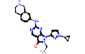 O=c1c2cnc(Nc3ccc4c(c3)CNCC4)nc2n(-c2ccn(C3CC3)n2)n1CC(F)(F)F